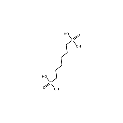 O=P(O)(O)CCCCCCP(=O)(O)O